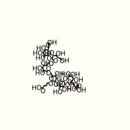 O=C(O)CCCO[C@@H]1OC(CO[C@H]2OC(CO[C@H]3OC(CO)[C@@H](O)[C@H](O)C3O[C@@H]3OC(COO)[C@@H](O)[C@H](O)C3O)[C@@H](O)[C@H](O)C2O)[C@@H](O)[C@H](O[C@@H]2OC(CO)[C@@H](O)[C@H](O)C2O[C@H]2OC(COP(=O)(O)O)[C@@H](O)[C@H](O)C2O)C1O